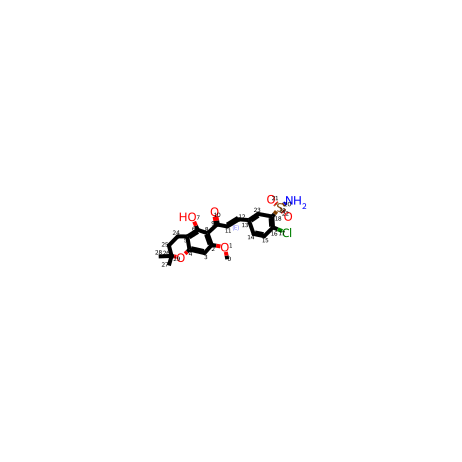 COc1cc2c(c(O)c1C(=O)/C=C/c1ccc(Cl)c(S(N)(=O)=O)c1)CCC(C)(C)O2